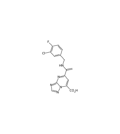 C=C(NCc1ccc(F)c(Cl)c1)c1cc(C(=O)O)n2ncnc2n1